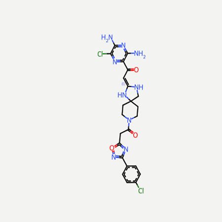 Nc1nc(N)c(C(=O)/C=C2\NCC3(CCN(C(=O)Cc4nc(-c5ccc(Cl)cc5)no4)CC3)N2)nc1Cl